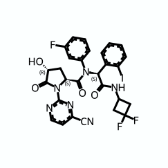 N#Cc1ccnc(N2C(=O)[C@H](O)C[C@H]2C(=O)N(c2cccc(F)c2)[C@H](C(=O)NC2CC(F)(F)C2)c2ccccc2I)n1